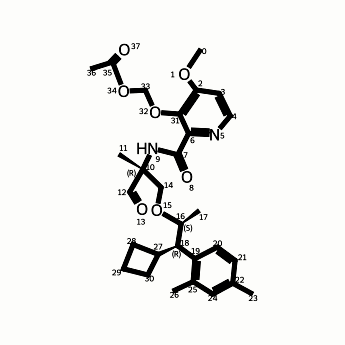 COc1ccnc(C(=O)N[C@@](C)(C=O)CO[C@@H](C)[C@@H](c2ccc(C)cc2C)C2CCC2)c1OCOC(C)=O